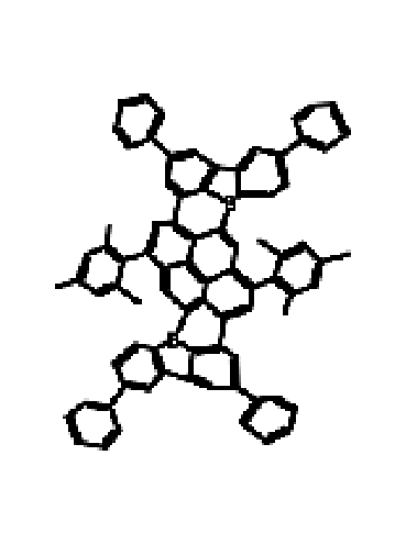 Cc1cc(C)c(-c2cc3c4c(cc5c(-c6c(C)cc(C)cc6C)cc6c7c(cc2c4c57)B2c4ccc(-c5ccccc5)cc4-c4cc(-c5ccccc5)cc-6c42)B2c4ccc(-c5ccccc5)cc4-c4cc(-c5ccccc5)cc-3c42)c(C)c1